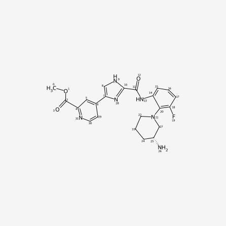 COC(=O)c1cc(-c2c[nH]c(C(=O)Nc3cccc(F)c3N3CCC[C@@H](N)C3)n2)ccn1